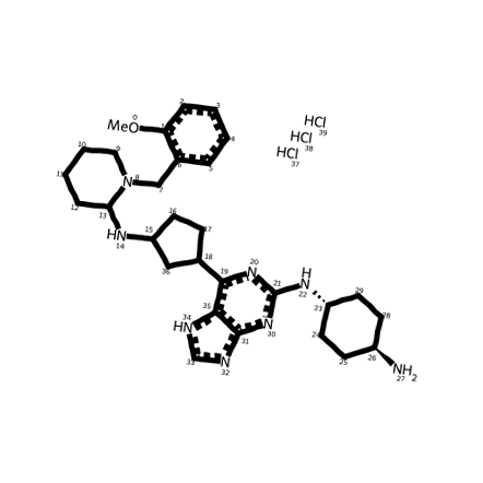 COc1ccccc1CN1CCCCC1NC1CCC(c2nc(N[C@H]3CC[C@H](N)CC3)nc3nc[nH]c23)C1.Cl.Cl.Cl